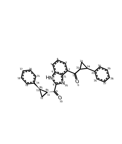 O=C(c1cccc2[nH]c(C(=O)[C@@H]3C[C@H]3c3ccccc3)nc12)C1CC1c1ccccc1